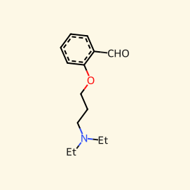 CCN(CC)CCCOc1ccccc1C=O